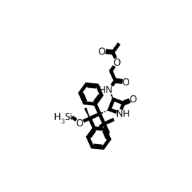 CC(=O)OCC(=O)N[C@@H]1C(=O)N[C@@H]1C(c1ccccc1)(C(C)(C)C)[C@@](C)(O[SiH3])c1ccccc1